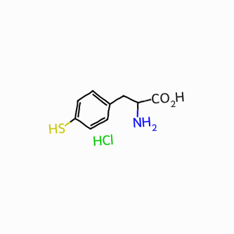 Cl.NC(Cc1ccc(S)cc1)C(=O)O